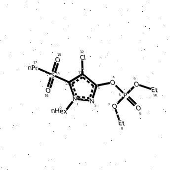 CCCCCCn1nc(OP(=O)(OCC)OCC)c(Cl)c1S(=O)(=O)CCC